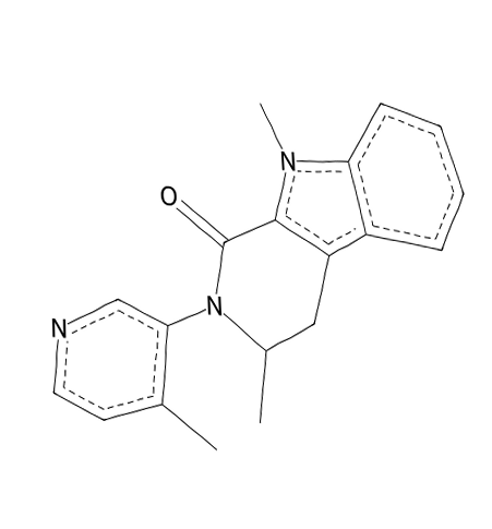 Cc1ccncc1N1C(=O)c2c(c3ccccc3n2C)CC1C